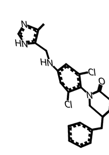 Cc1nc[nH]c1CNc1cc(Cl)c(N2CC(Cc3ccccc3)CCC2=O)c(Cl)c1